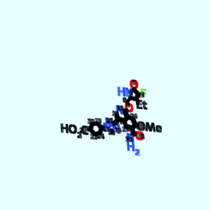 CC[C@@H]1[C@H](F)C(=O)N[C@@H]1COc1ncc(-c2ncn(C3CCC(C(=O)O)CC3)n2)c2cc(C(N)=O)c(OC)cc12